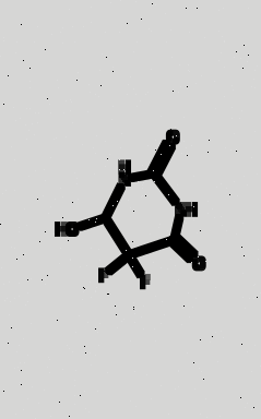 O=C1NC(=O)C(F)(F)C(O)N1